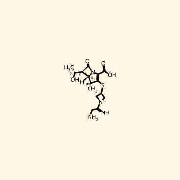 C[C@@H](O)[C@H]1C(=O)N2C(C(=O)O)=C(SC3CN(C(=N)CN)C3)[C@H](C)[C@H]12